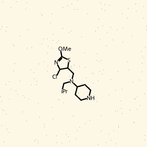 COC1=NC(Cl)C(CN(CC(C)C)C2CCNCC2)S1